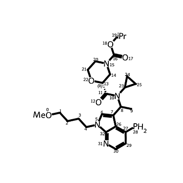 COCCCCn1cc(C(C)N(C(=O)[C@H]2CN(C(=O)OC(C)C)CCO2)C2CC2)c2c(P)ccnc21